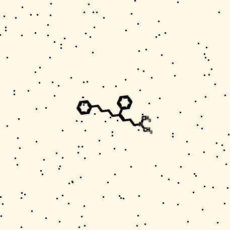 CN(C)CCC=C(CCCCc1ccccc1)c1ccccc1